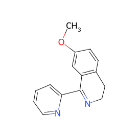 COc1ccc2c(c1)C(c1ccccn1)=NCC2